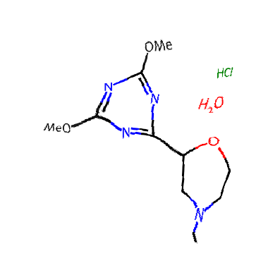 COc1nc(OC)nc(C2CN(C)CCO2)n1.Cl.O